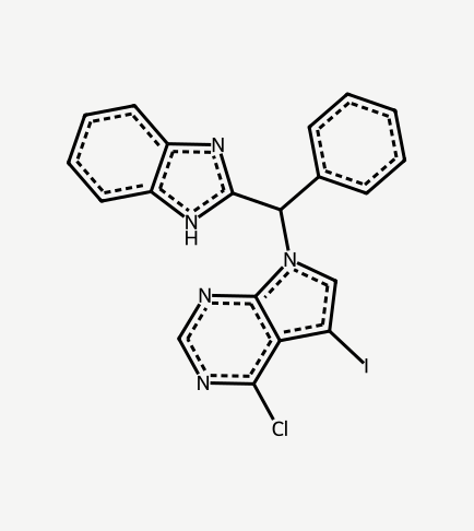 Clc1ncnc2c1c(I)cn2C(c1ccccc1)c1nc2ccccc2[nH]1